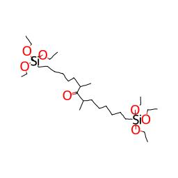 CCO[Si](CCCCCCC(C)C(=O)C(C)CCCCCC[Si](OCC)(OCC)OCC)(OCC)OCC